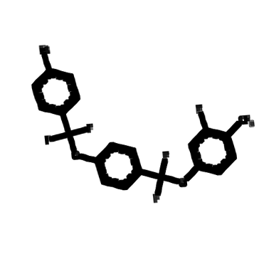 CCc1ccc(C(F)(F)Oc2ccc(C(F)(F)Oc3ccc(C(F)(F)F)c(F)c3)cc2)cc1